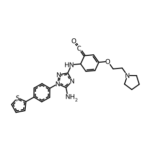 Nc1nc(NC2C=CC(OCCN3CCCC3)=CC2=C=O)nn1-c1ccc(-c2cccs2)cc1